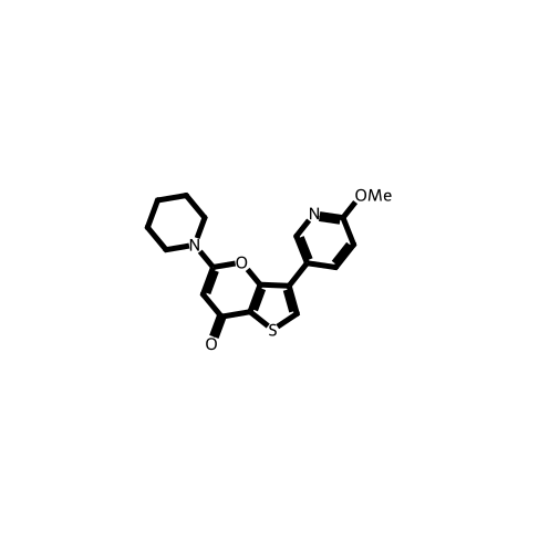 COc1ccc(-c2csc3c(=O)cc(N4CCCCC4)oc23)cn1